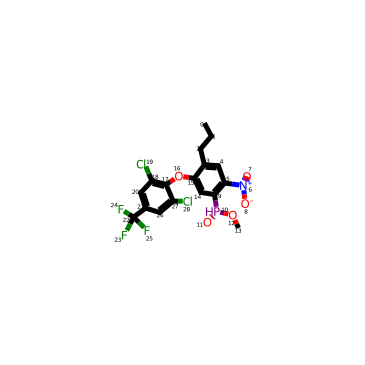 CCCc1cc([N+](=O)[O-])c([PH](=O)OC)cc1Oc1c(Cl)cc(C(F)(F)F)cc1Cl